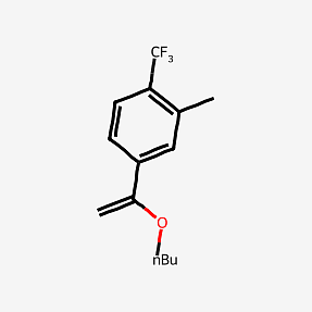 C=C(OCCCC)c1ccc(C(F)(F)F)c(C)c1